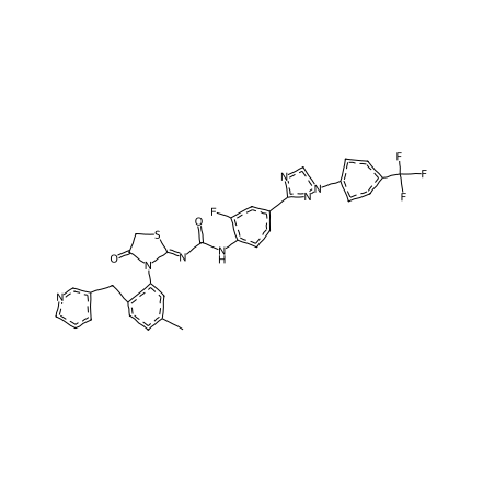 Cc1ccc(Cc2cccnc2)c(N2C(=O)CSC2=NC(=O)Nc2ccc(-c3ncn(-c4ccc(C(F)(F)F)cc4)n3)cc2F)c1